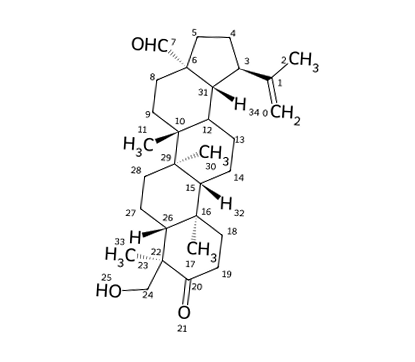 C=C(C)[C@@H]1CC[C@]2(C=O)CC[C@]3(C)C(CC[C@@H]4[C@@]5(C)CCC(=O)[C@@](C)(CO)[C@@H]5CC[C@]43C)[C@@H]12